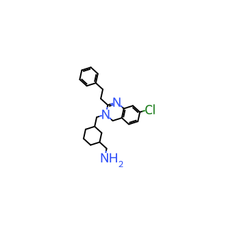 NCC1CCCC(CN2Cc3ccc(Cl)cc3N=C2CCc2ccccc2)C1